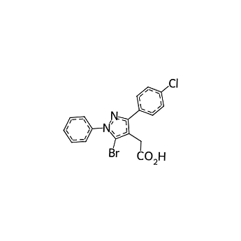 O=C(O)Cc1c(-c2ccc(Cl)cc2)nn(-c2ccccc2)c1Br